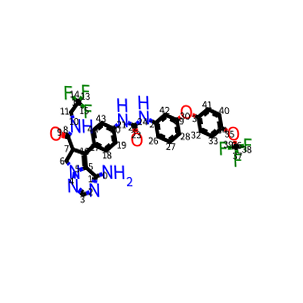 NC1=NC=NN2CC(C(=O)NCC(F)(F)F)C(c3ccc(NC(=O)Nc4cccc(Oc5ccc(OC(F)(F)F)cc5)c4)cc3)=C12